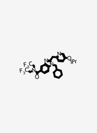 CC(C)Oc1ccc(Cc2nc3cc(C(=O)N(CC(F)(F)F)CC(F)(F)F)ccc3n2CC2CCCCC2)nc1